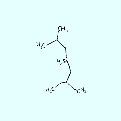 CC(C)C[SiH2]CC(C)C